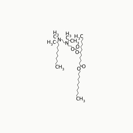 CCCCCCCCCCCOC(=O)CCCCC(CCCCCC)OC(=O)OCCN(CCN(CC)C(C)CCCCCCCCC)C(C)C